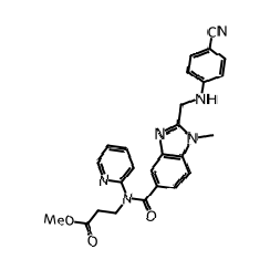 COC(=O)CCN(C(=O)c1ccc2c(c1)nc(CNc1ccc(C#N)cc1)n2C)c1ccccn1